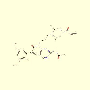 C=CC(=O)N1CC(C)N(CCCn2c(=O)c(-c3cc(OC)cc(OC)c3Cl)cc3cnc(NC(C)=O)nc32)C(C)C1